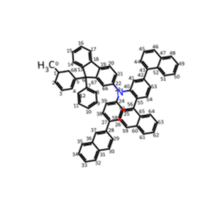 CC1C=CC=C(C2(c3ccccc3)c3ccccc3-c3ccc(N(c4ccc(-c5ccc6ccccc6c5)cc4)c4cc(-c5cccc6ccccc56)ccc4-c4cccc5ccccc45)cc32)C1